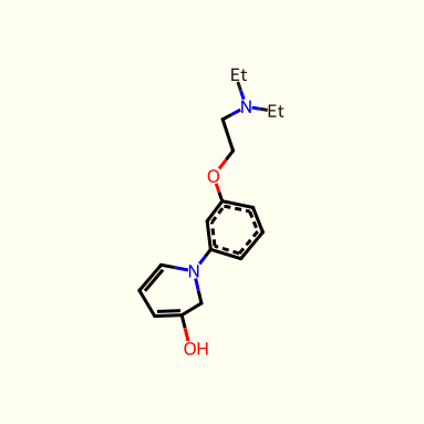 CCN(CC)CCOc1cccc(N2C=CC=C(O)C2)c1